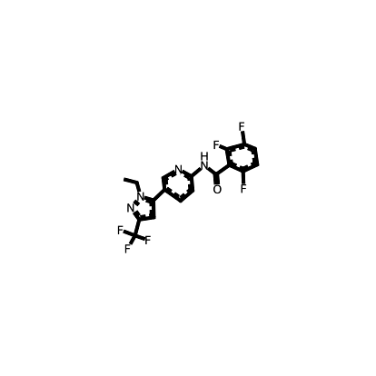 CCn1nc(C(F)(F)F)cc1-c1ccc(NC(=O)c2c(F)ccc(F)c2F)nc1